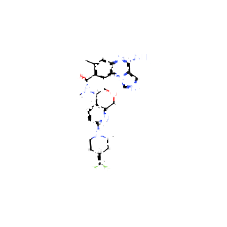 Cc1cc2nc(N)c3cncn3c2cc1C(=O)N(C)C1COCc2nc(N3CCC(=C(F)F)CC3)ccc21